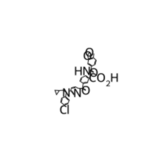 O=C(Nc1ccc(C(=O)c2ccc(N(CC3CC3)c3ccc(Cl)cc3)cn2)cc1C(=O)O)c1ccc2c(c1)OOC2